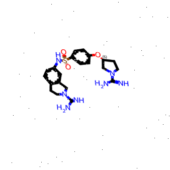 N=C(N)N1CCc2ccc(NS(=O)(=O)c3ccc(O[C@H]4CCN(C(=N)N)C4)cc3)cc2C1